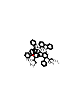 CCC(C)c1ccc2c(c1-c1ccccc1)C=C(c1ccccc1)[CH]2[Zr]([Cl])([Cl])([c]1cccc2c1[SiH2]c1ccccc1-2)[CH]1C(c2ccccc2)=Cc2c1ccc(C(C)CC)c2-c1ccccc1